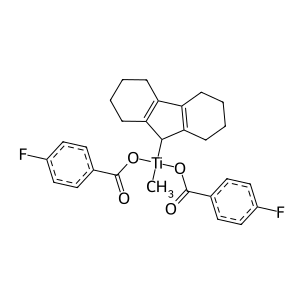 [CH3][Ti]([O]C(=O)c1ccc(F)cc1)([O]C(=O)c1ccc(F)cc1)[CH]1C2=C(CCCC2)C2=C1CCCC2